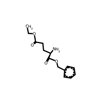 CCOC(=O)CCC(N)C(=O)OCc1ccccc1